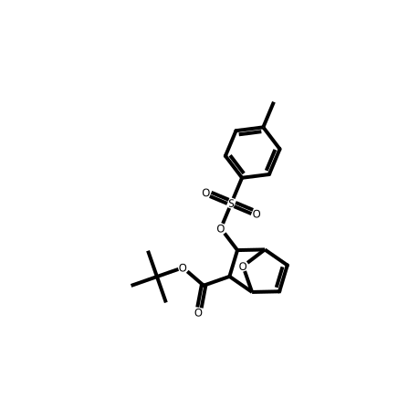 Cc1ccc(S(=O)(=O)OC2C3C=CC(O3)C2C(=O)OC(C)(C)C)cc1